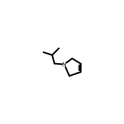 CC(C)CN1CC=CC1